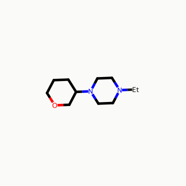 CCN1CCN(C2CCCOC2)CC1